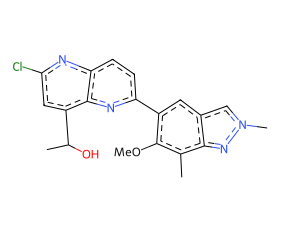 COc1c(-c2ccc3nc(Cl)cc(C(C)O)c3n2)cc2cn(C)nc2c1C